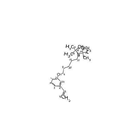 C=Cc1cccc(OCCCCCN(C(C)(C)C)C(C)(C)C)c1